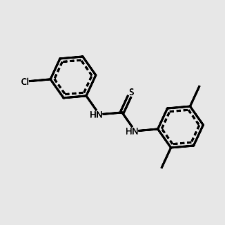 Cc1ccc(C)c(NC(=S)Nc2cccc(Cl)c2)c1